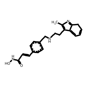 CC1=C(CCNCc2ccc(/C=C/C(=O)NO)cc2)C2=CC=CCC2=N1